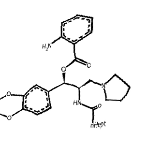 CCCCCCCC(=O)N[C@H](CN1CCCC1)[C@H](OC(=O)c1ccccc1N)c1ccc2c(c1)OCCO2